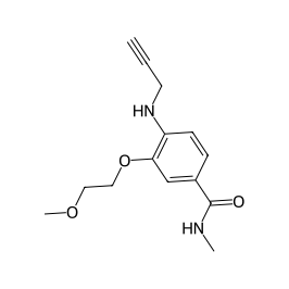 C#CCNc1ccc(C(=O)NC)cc1OCCOC